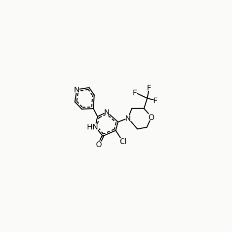 O=c1[nH]c(-c2ccncc2)nc(N2CCOC(C(F)(F)F)C2)c1Cl